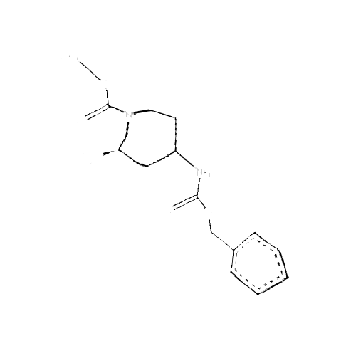 CC(C)(C)OC(=O)N1CCC(NC(=O)OCc2ccccc2)C[C@H]1C(=O)O